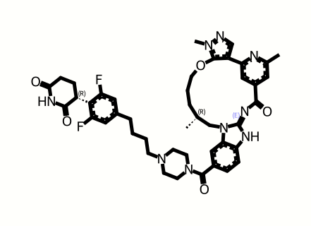 Cc1cc2cc(n1)-c1cnn(C)c1OCCC[C@@H](C)CN1/C(=N/C2=O)Nc2ccc(C(=O)N3CCN(CCCCc4cc(F)c([C@H]5CCC(=O)NC5=O)c(F)c4)CC3)cc21